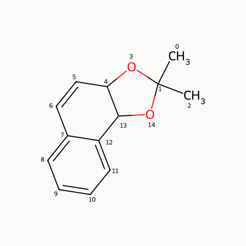 CC1(C)OC2C=Cc3ccccc3C2O1